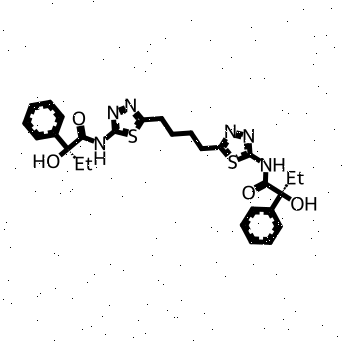 CC[C@@](O)(C(=O)Nc1nnc(CCCCc2nnc(NC(=O)[C@](O)(CC)c3ccccc3)s2)s1)c1ccccc1